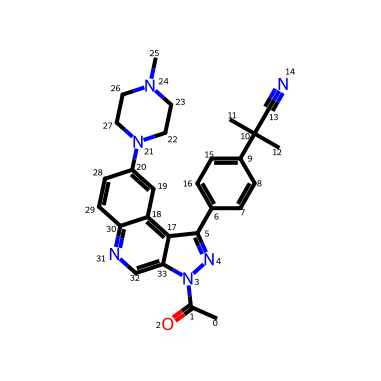 CC(=O)n1nc(-c2ccc(C(C)(C)C#N)cc2)c2c3cc(N4CCN(C)CC4)ccc3ncc21